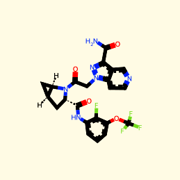 NC(=O)c1nn(CC(=O)N2[C@@H]3C[C@@H]3C[C@H]2C(=O)Nc2cccc(OC(F)(F)F)c2F)c2ccncc12